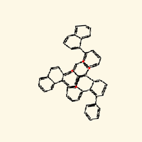 c1ccc(-c2ccccc2-c2c(-c3ccccc3)cccc2N(c2cccc(-c3cccc4ccccc34)c2)c2ccc3c(ccc4ccccc43)c2)cc1